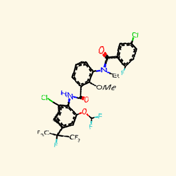 CCN(C(=O)c1cc(Cl)ccc1F)c1cccc(C(=O)Nc2c(Cl)cc(C(F)(C(F)(F)F)C(F)(F)F)cc2OC(F)F)c1OC